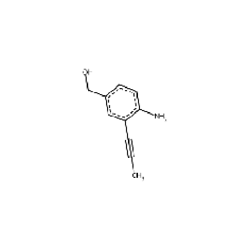 CC#Cc1cc(CO)ccc1N